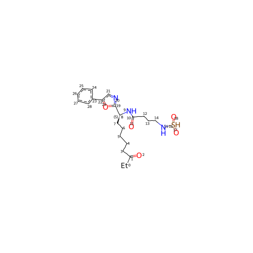 CCC(=O)CCCCC[C@H](NC(=O)CCCN[SH](=O)=O)c1ncc(-c2ccccc2)o1